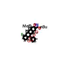 CCCCOc1noc2c1C(=O)[C@@]1(C)C(Oc3ccccc3)=C3C(=O)c4c(O)ccc(F)c4C[C@H]3C[C@H]1[C@@H]2OC